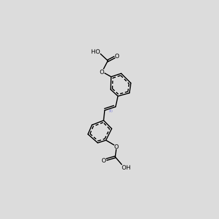 O=C(O)Oc1cccc(/C=C/c2cccc(OC(=O)O)c2)c1